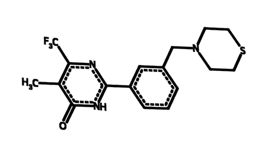 Cc1c(C(F)(F)F)nc(-c2cccc(CN3CCSCC3)c2)[nH]c1=O